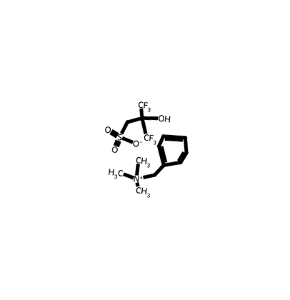 C[N+](C)(C)Cc1ccccc1.O=S(=O)([O-])CC(O)(C(F)(F)F)C(F)(F)F